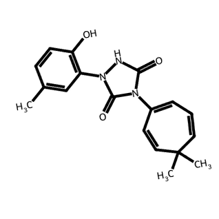 Cc1ccc(O)c(-n2[nH]c(=O)n(C3=CC=CC(C)(C)C=C3)c2=O)c1